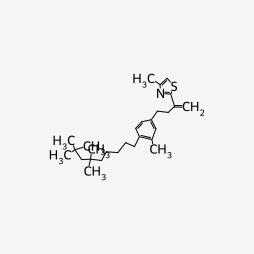 C=C(CCc1ccc(CCCCCC(C)(C)CC(C)(C)C)c(C)c1)c1nc(C)cs1